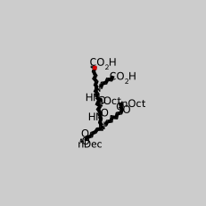 CCCCCCCCCCCOC(=O)CCCCCN(CCCCCCCC(=O)OC(CCCCCCCC)CCCCCCCC)CCNC(=O)CCCC(=O)NCCN(CCCCCCCC(=O)O)CCCCCC(=O)O